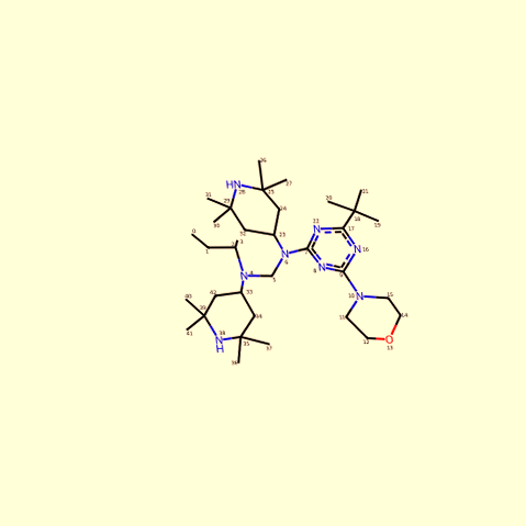 CCC(C)N(CN(c1nc(N2CCOCC2)nc(C(C)(C)C)n1)C1CC(C)(C)NC(C)(C)C1)C1CC(C)(C)NC(C)(C)C1